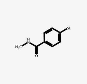 CNC(=O)c1ccc(S)cc1